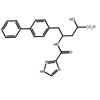 O=C(NC(Cc1ccc(-c2ccccc2)cc1)CC(O)C(=O)O)c1nc[nH]n1